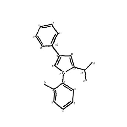 Cc1ccccc1-n1cc(-c2ccccc2)cc1C(C)C